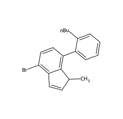 CCCCc1ccccc1-c1ccc(Br)c2c1C(C)C=C2